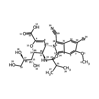 COc1cc2nn([C@H]3C=C(C(=O)O)O[C@@H]([C@H](O)[C@H](O)CO)[C@@H]3NC(=O)C(C)C)c(C#N)c2cc1Br